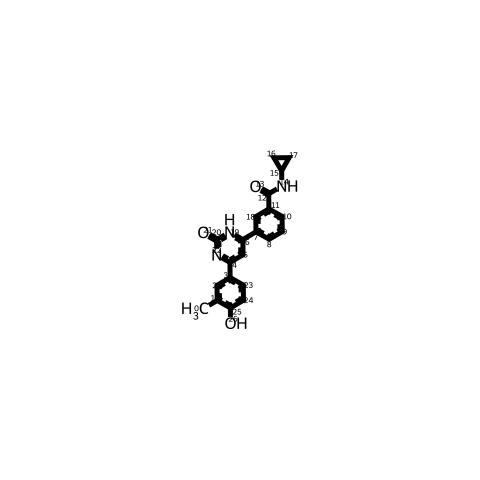 Cc1cc(-c2cc(-c3cccc(C(=O)NC4CC4)c3)[nH]c(=O)n2)ccc1O